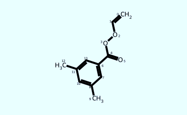 C=COOC(=O)c1cc(C)cc(C)c1